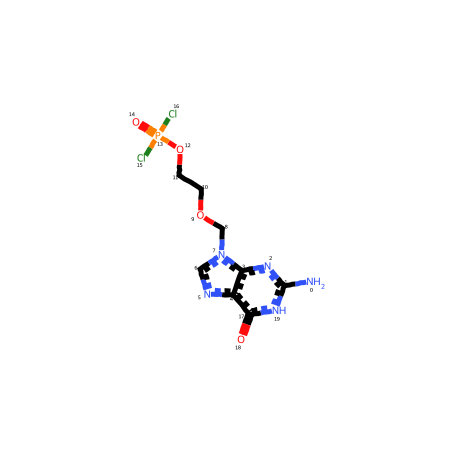 Nc1nc2c(ncn2COCCOP(=O)(Cl)Cl)c(=O)[nH]1